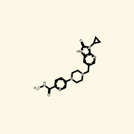 CNC(=O)c1ccc(N2CCN(Cc3cnc4c(c3)[nH]c(=O)n4C3CC3)CC2)cn1